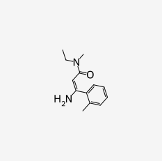 CCN(C)C(=O)/C=C(/N)c1ccccc1C